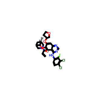 C=CC(=O)N1CC2C[C@@H](C1)C2Oc1cc2c(Nc3ccc(Cl)c(Cl)c3F)ncnc2cc1OC1CCOC1